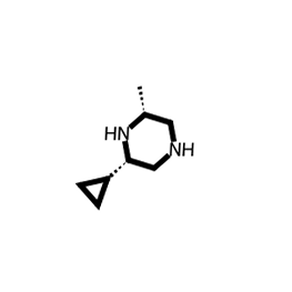 C[C@@H]1CNC[C@H](C2CC2)N1